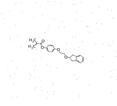 C=C(C)C(=O)Oc1ccc(OCCOC2Cc3ccccc3C2)cc1